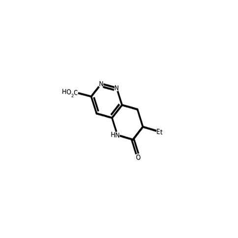 CCC1Cc2nnc(C(=O)O)cc2NC1=O